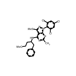 COCCC(Cc1ccccc1)Nc1nc(C)nc2c1c(SC)nn2-c1c(Cl)cc(Cl)cc1Cl